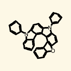 c1ccc(-n2c3ccccc3c3c4c5c6c(ccc5n(-c5ccccc5)c4ccc32)oc2ccccc26)cc1